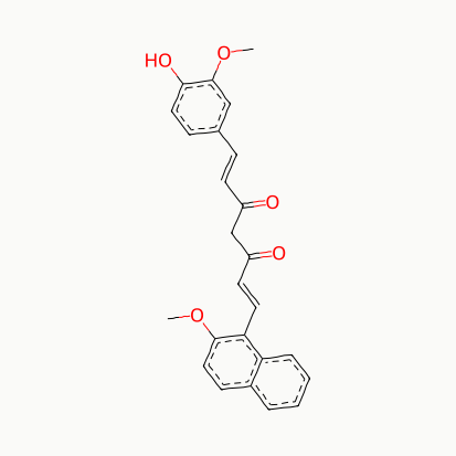 COc1cc(C=CC(=O)CC(=O)C=Cc2c(OC)ccc3ccccc23)ccc1O